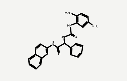 COc1ccc([N+](=O)[O-])cc1NC(=O)NC(C(=O)Nc1ccc2ccccc2c1)c1ccccc1